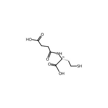 O=C(O)CCC(=O)N[C@H](CCS)C(=O)O